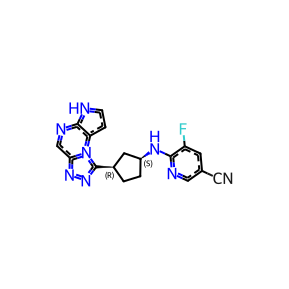 N#Cc1cnc(N[C@H]2CC[C@@H](c3nnc4cnc5[nH]ccc5n34)C2)c(F)c1